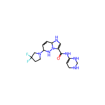 O=C(NC1=CCNCN1)C1=CNC2C=CC(N3CCC(F)(F)C3)NN12